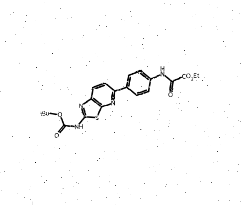 CCOC(=O)C(=O)Nc1ccc(-c2ccc3nc(NC(=O)OC(C)(C)C)sc3n2)cc1